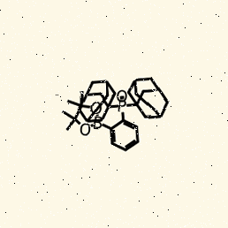 CC1(C)OB(c2ccccc2P(=O)(C23CC4CC(CC(C4)C2)C3)C23CC4CC(CC(C4)C2)C3)OC1(C)C